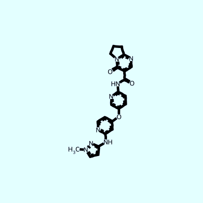 Cn1ccc(Nc2cc(Oc3ccc(NC(=O)c4cnc5n(c4=O)CCC5)nc3)ccn2)n1